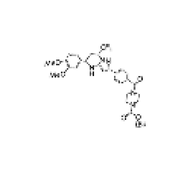 COc1ccc(C2CC(C(F)(F)F)n3nc(-c4ccc(C(=O)N5CCN(C(=O)OC(C)(C)C)CC5)cc4)cc3N2)cc1OC